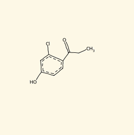 CCC(=O)c1ccc(O)cc1Cl